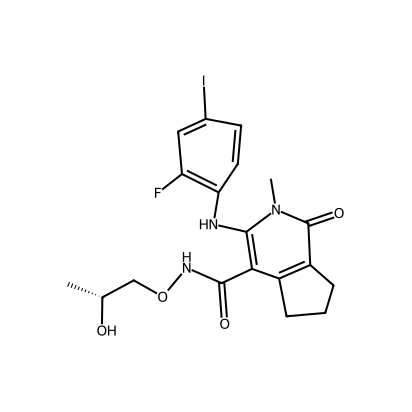 C[C@@H](O)CONC(=O)c1c2c(c(=O)n(C)c1Nc1ccc(I)cc1F)CCC2